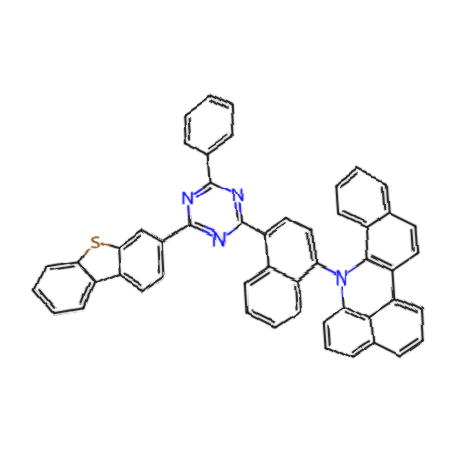 c1ccc(-c2nc(-c3ccc4c(c3)sc3ccccc34)nc(-c3ccc(N4c5c(ccc6ccccc56)-c5cccc6cccc4c56)c4ccccc34)n2)cc1